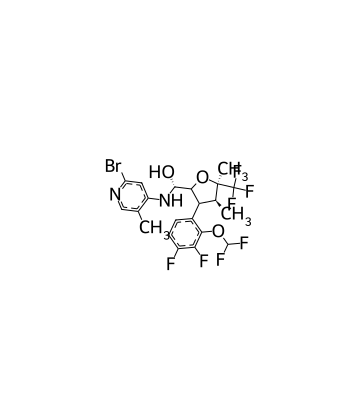 Cc1cnc(Br)cc1N[C@H](O)C1O[C@@](C)(C(F)(F)F)[C@@H](C)C1c1ccc(F)c(F)c1OC(F)F